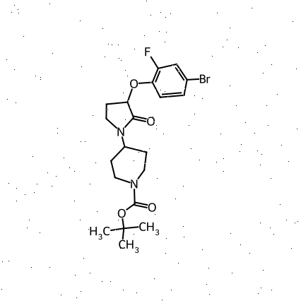 CC(C)(C)OC(=O)N1CCC(N2CCC(Oc3ccc(Br)cc3F)C2=O)CC1